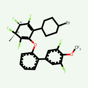 CCC1CCC(C2=C(F)[C@H](F)[C@](C)(F)C(F)=C2Oc2ccccc2-c2cc(F)c(OC(F)(F)F)c(F)c2)CC1